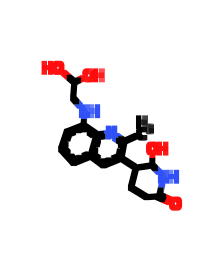 Cc1nc2c(NCC(O)O)cccc2cc1C1CCC(=O)NC1O